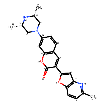 Cc1ccc2oc(-c3cc4ccc(N5C[C@@H](C)N[C@@H](C)C5)cc4oc3=O)cc2n1